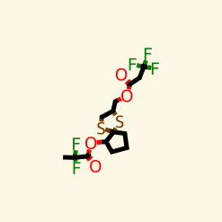 CC(F)(F)C(=O)OC1CCCC12SCC(COC(=O)CC(F)(F)F)S2